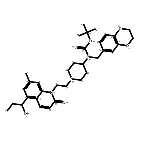 CCC(O)c1cc(C)cc2c1ccc(=O)n2CCN1CCC(N(Cc2ccc3c(c2)OCCO3)C(=O)OC(C)(C)C)CC1